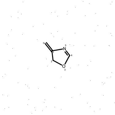 C=C1CO[C]=N1